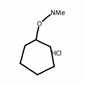 CNOC1CCCCC1.Cl